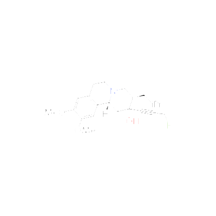 COc1cc2c(cc1OC)[C@H]1C[C@](O)(C#CC[19F])[C@H](CC(C)C)CN1CC2